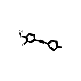 Cc1ccc(C#Cc2ccc(SC#N)c(F)c2)cc1